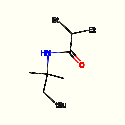 CCC(CC)C(=O)NC(C)(C)CC(C)(C)C